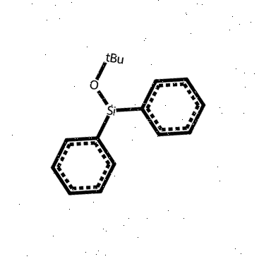 CC(C)(C)O[Si](c1ccccc1)c1ccccc1